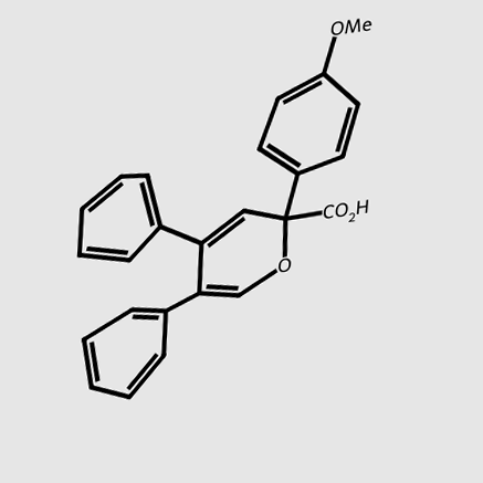 COc1ccc(C2(C(=O)O)C=C(c3ccccc3)C(c3ccccc3)=CO2)cc1